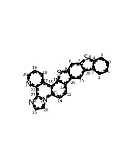 c1ccc2c(c1)sc1cc3sc4c(ccc5c4c4cccnc4c4nccn54)c3cc12